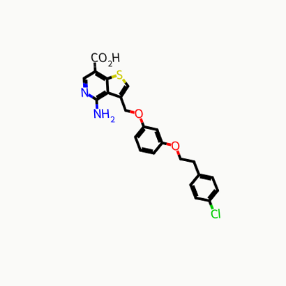 Nc1ncc(C(=O)O)c2scc(COc3cccc(OCCc4ccc(Cl)cc4)c3)c12